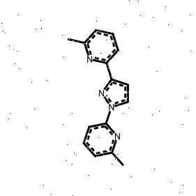 Cc1cccc(-c2ccn(-c3cccc(C)n3)n2)n1